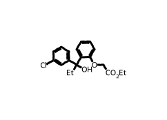 CCOC(=O)COc1ccccc1C(O)(CC)c1cccc(Cl)c1